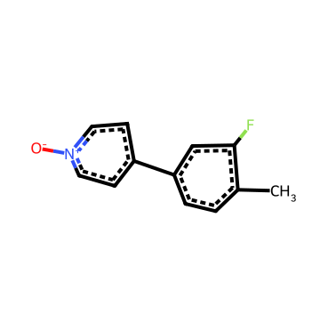 Cc1ccc(-c2cc[n+]([O-])cc2)cc1F